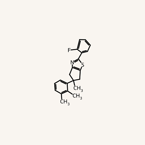 Cc1cccc(C2(C)Cc3nc(-c4ccccc4F)sc3C2)c1C